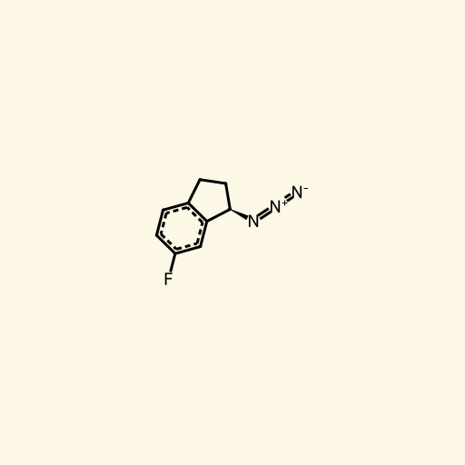 [N-]=[N+]=N[C@@H]1CCc2ccc(F)cc21